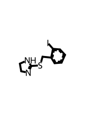 Ic1ccccc1CSC1=NCCN1